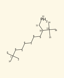 CC(C)(C)CCCCCCC(CP)C(C)(C)C